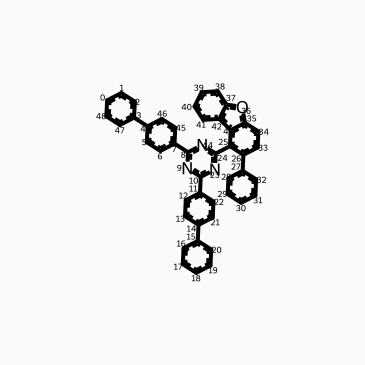 c1ccc(-c2ccc(-c3nc(-c4ccc(-c5ccccc5)cc4)nc(-c4c(-c5ccccc5)ccc5oc6ccccc6c45)n3)cc2)cc1